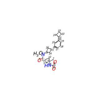 CN(C(=O)[C@H]1C[C@]2(COC(=O)N2)C1)[C@H]1C[C@@H](c2cccc(C3CCC3)c2)C1